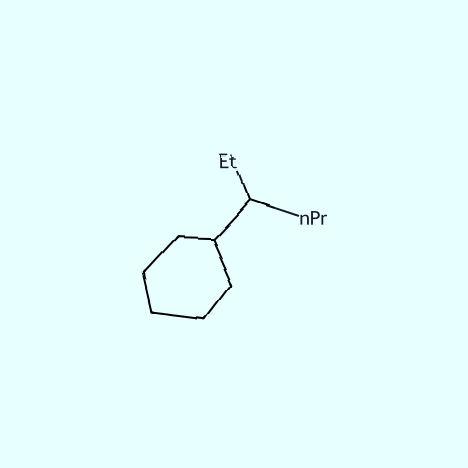 [CH2]CCC(C[CH2])C1CCCCC1